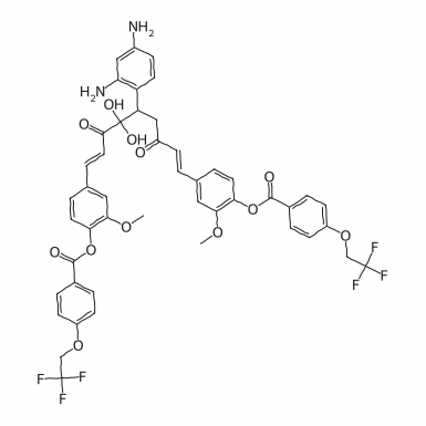 COc1cc(C=CC(=O)CC(c2ccc(N)cc2N)C(O)(O)C(=O)C=Cc2ccc(OC(=O)c3ccc(OCC(F)(F)F)cc3)c(OC)c2)ccc1OC(=O)c1ccc(OCC(F)(F)F)cc1